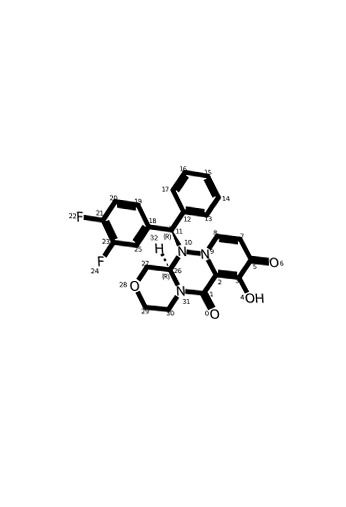 O=C1c2c(O)c(=O)ccn2N([C@H](c2ccccc2)c2ccc(F)c(F)c2)[C@@H]2COCCN12